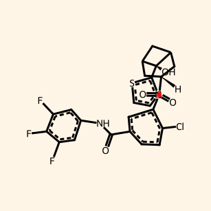 O=C(Nc1cc(F)c(F)c(F)c1)c1ccc(Cl)c(S(=O)(=O)[C@H]2CC3CC(C2)[C@@]3(O)c2nccs2)c1